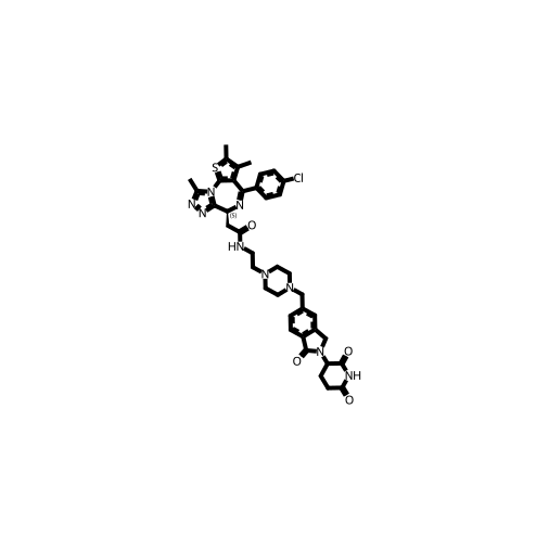 Cc1sc2c(c1C)C(c1ccc(Cl)cc1)=N[C@@H](CC(=O)NCCN1CCN(Cc3ccc4c(c3)CN(C3CCC(=O)NC3=O)C4=O)CC1)c1nnc(C)n1-2